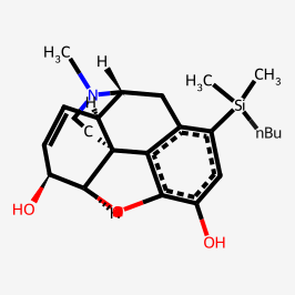 CCCC[Si](C)(C)c1cc(O)c2c3c1C[C@@H]1[C@@H]4C=C[C@H](O)[C@H](O2)[C@]34CCN1C